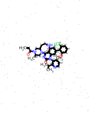 C=CC(=O)N1CC2CCNc3c(F)c(-c4c(O)cccc4Cl)c(F)c4c3c(nc(=O)n4-c3c(C)ccnc3C(C)C)N2CC1C